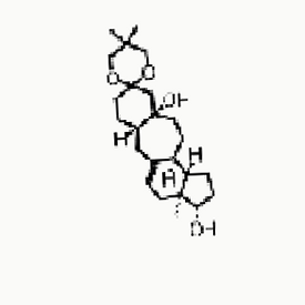 CC1(C)COC2(CC[C@H]3CC4=CC[C@]5(C)[C@@H](O)CC[C@H]5[C@@H]4CC[C@@]3(O)C2)OC1